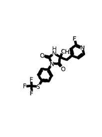 CC1(Cc2ccnc(F)c2)NC(=O)N(c2ccc(SC(F)(F)F)cc2)C1=O